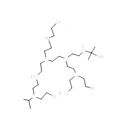 CC(C)N(CCN)CCNCCN(CCNCCN)CCN(CCNC(C)(C)N)CCN(CCN)CCN